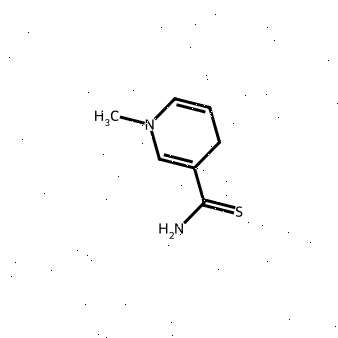 CN1C=CCC(C(N)=S)=C1